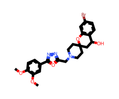 COc1ccc(-c2nnc(CN3CCC4(CC3)CC(O)c3ccc(Br)cc3O4)o2)cc1OC